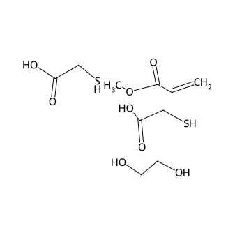 C=CC(=O)OC.O=C(O)CS.O=C(O)CS.OCCO